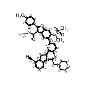 CNC(=O)c1c(-c2ccc(C)cc2)oc2cc(N(C)S(C)(=O)=O)c(-c3ccc4nc(CN5CCOCC5)n5c6cccc(C#N)c6cc5c4n3)cc12